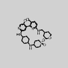 O=S1(=O)CCC(NC2CCC(Nc3cc(-c4nc(NCC5CCOCC5)ccc4Cl)c(Cl)cn3)CC2)CC1